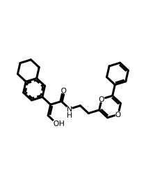 O=C(NCCC1=COC=C(C2=CC=CCC2)O1)C(=CO)c1ccc2c(c1)CCCC2